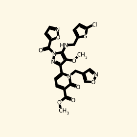 COC(=O)c1ccc(-c2nn(C(=O)c3ccno3)c(NCc3ccc(Cl)s3)c2OC)n(Cc2cnoc2)c1=O